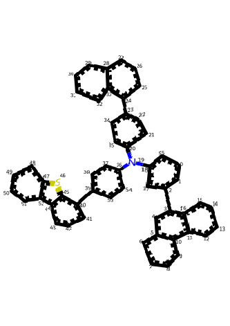 c1cc(-c2cc3ccccc3c3ccccc23)cc(N(c2ccc(-c3cccc4ccccc34)cc2)c2ccc(-c3cccc4c3sc3ccccc34)cc2)c1